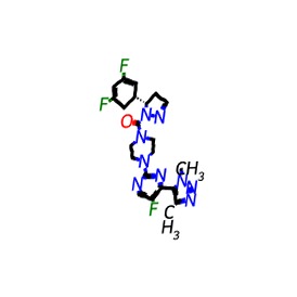 Cc1nnn(C)c1-c1nc(N2CCN(C(=O)N3N=CC[C@H]3C3C=C(F)C=C(F)C3)CC2)ncc1F